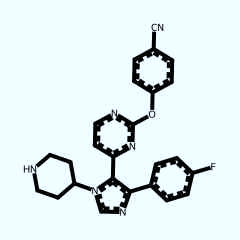 N#Cc1ccc(Oc2nccc(-c3c(-c4ccc(F)cc4)ncn3C3CCNCC3)n2)cc1